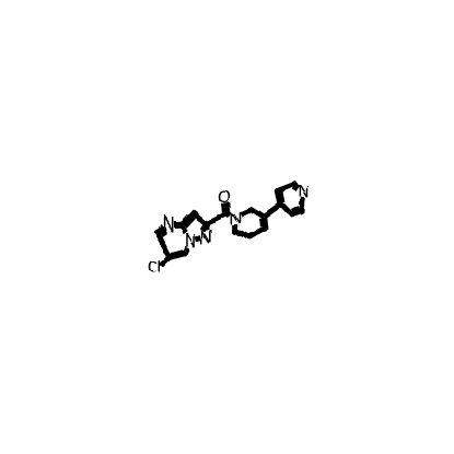 O=C(c1cc2ncc(Cl)cn2n1)N1CCC=C(c2ccncc2)C1